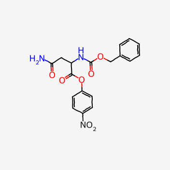 NC(=O)CC(NC(=O)OCc1ccccc1)C(=O)Oc1ccc([N+](=O)[O-])cc1